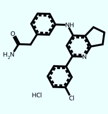 Cl.NC(=O)Cc1cccc(Nc2cc(-c3cccc(Cl)c3)nc3c2CCC3)c1